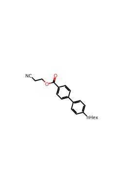 CCCCCCc1ccc(-c2ccc(C(=O)OCCC#N)cc2)cc1